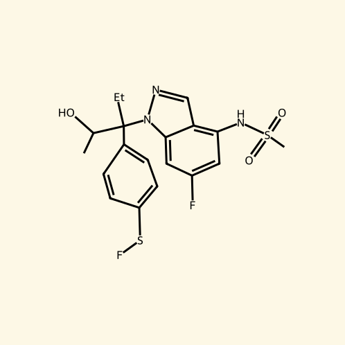 CCC(c1ccc(SF)cc1)(C(C)O)n1ncc2c(NS(C)(=O)=O)cc(F)cc21